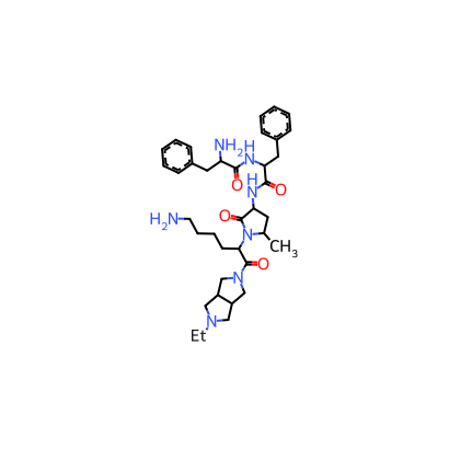 CCN1CC2CN(C(=O)C(CCCCN)N3C(=O)C(NC(=O)C(Cc4ccccc4)NC(=O)C(N)Cc4ccccc4)CC3C)CC2C1